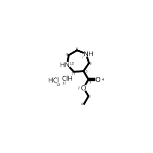 CCOC(=O)C1CNCCNC1.Cl.Cl